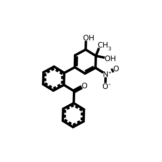 CC1(O)C([N+](=O)[O-])=CC(c2ccccc2C(=O)c2ccccc2)=CC1O